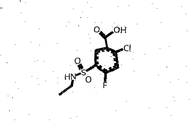 CCNS(=O)(=O)c1cc(C(=O)O)c(Cl)cc1F